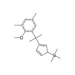 COc1c(C)cc(C)cc1C(C)(C)C1=CC([Si](C)(C)C)C=C1